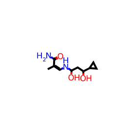 C/C(=C/NC(O)CC(O)C1CC1)C(N)=O